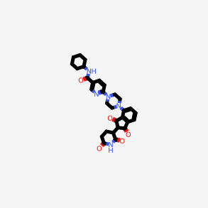 O=C1CCC(C2C(=O)c3cccc(N4CCN(c5ccc(C(=O)NC6CCCCC6)cn5)CC4)c3C2=O)C(=O)N1